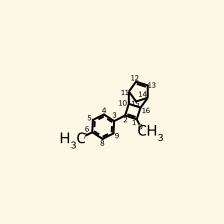 CC1=C(c2ccc(C)cc2)C2C3C=CC(C3)C12